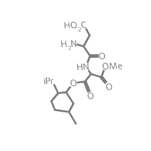 COC(=O)C(NC(=O)C(N)CC(=O)O)C(=O)OC1CC(C)CCC1C(C)C